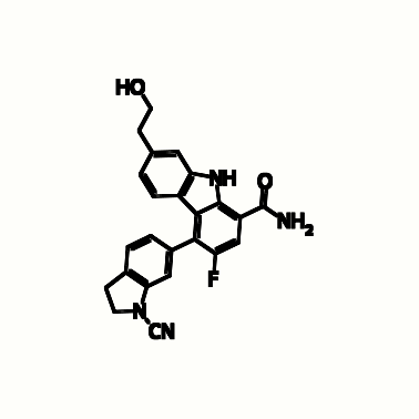 N#CN1CCc2ccc(-c3c(F)cc(C(N)=O)c4[nH]c5cc(CCO)ccc5c34)cc21